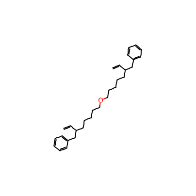 C=CC(CCCCCOCCCCCC(C=C)Cc1ccccc1)Cc1ccccc1